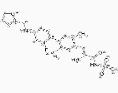 C/C(=C\c1cc(C)c(-c2ccc(NCc3ccco3)cc2F)cc1C)C(=O)NS(C)(=O)=O